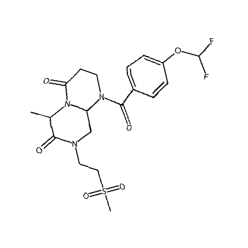 CC1C(=O)N(CCS(C)(=O)=O)CC2N(C(=O)c3ccc(OC(F)F)cc3)CCC(=O)N12